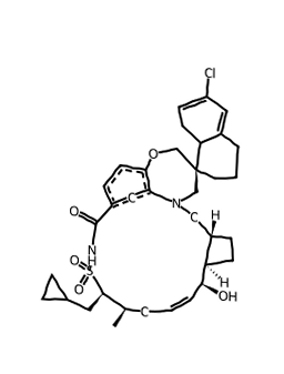 C[C@@H]1C/C=C\[C@H](O)[C@@H]2CC[C@H]2CN2C[C@@]3(CCCC4=CC(Cl)=CCC43)COc3ccc(cc32)C(=O)NS(=O)(=O)[C@@H]1CC1CC1